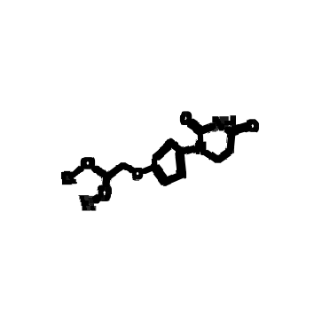 CCOC(COc1ccc(N2CCC(=O)NC2=O)cc1)OCC